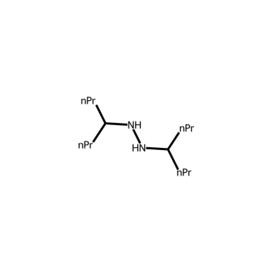 CCCC(CCC)NNC(CCC)CCC